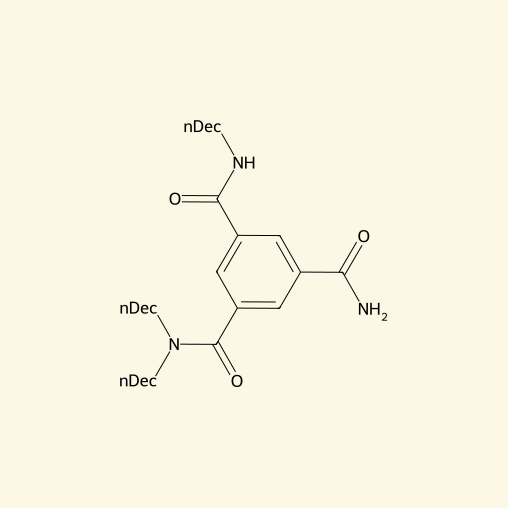 CCCCCCCCCCNC(=O)c1cc(C(N)=O)cc(C(=O)N(CCCCCCCCCC)CCCCCCCCCC)c1